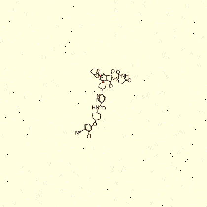 N#Cc1ccc(OC2CCC(NC(=O)c3ccc(N4CCC(CN5CC6CCC(C5)N6c5ccc6c(c5)C(=O)N(N5CCC(=O)NC5=O)C6=O)CC4)nn3)CC2)cc1Cl